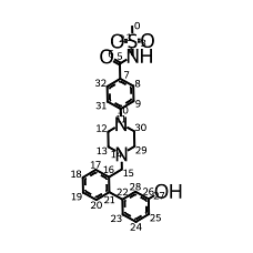 CS(=O)(=O)NC(=O)c1ccc(N2CCN(Cc3ccccc3-c3cccc(O)c3)CC2)cc1